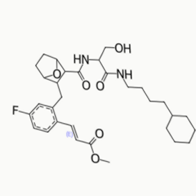 COC(=O)/C=C/c1ccc(F)cc1CC1C2CCC(O2)C1C(=O)NC(CO)C(=O)NCCCCC1CCCCC1